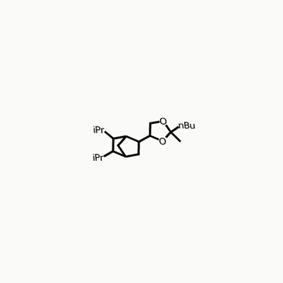 CCCCC1(C)OCC(C2CC3CC2C(C(C)C)C3C(C)C)O1